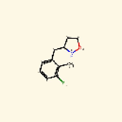 Cc1c(F)cccc1CC1CCON1